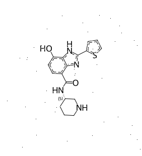 O=C(N[C@H]1CCCNC1)c1ccc(O)c2[nH]c(-c3cccs3)nc12